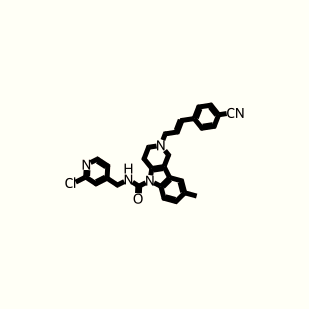 Cc1ccc2c(c1)c1c(n2C(=O)NCc2ccnc(Cl)c2)CCN(CC=Cc2ccc(C#N)cc2)C1